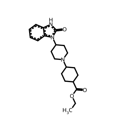 CCOC(=O)C1CCC(N2CCC(n3c(=O)[nH]c4ccccc43)CC2)CC1